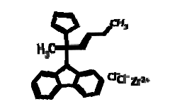 CCC=CC(C)(C1=CC=CC1)C1c2ccccc2-c2ccccc21.[Cl-].[Cl-].[Zr+2]